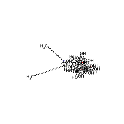 CCCCCCCCCCCCC/C=C/[C@@H](O)[C@H](CO[C@@H]1OC(CO)[C@@H](O[C@@H]2OC(CO)[C@H](O)[C@H](O[C@@H]3OC(CO)[C@@H](O[C@H]4OC(C)[C@@H](O)C(O)[C@@H]4O)[C@H](O[C@@H]4OC(CO)[C@H](O)[C@H](O[C@@H]5OC(CO)[C@@H](O)[C@H](O[C@H]6OC(C)[C@@H](O)C(O)[C@@H]6O)C5NC(C)=O)C4O)C3NC(C)=O)C2O)[C@H](O)C1O)NC(=O)CCCCCCCCCCCCCCCCCCC